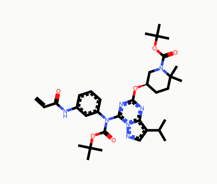 C=CC(=O)Nc1cccc(N(C(=O)OC(C)(C)C)c2nc(O[C@@H]3CCC(C)(C)N(C(=O)OC(C)(C)C)C3)nc3c(C(C)C)cnn23)c1